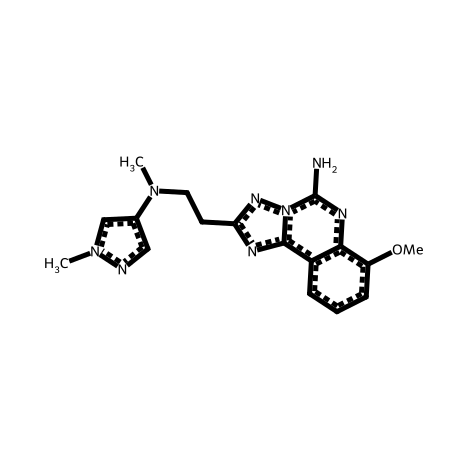 COc1cccc2c1nc(N)n1nc(CCN(C)c3cnn(C)c3)nc21